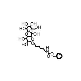 O=C(NCCCCCCO[C@@H]1OC(CO)[C@@H](O[C@@H]2OC(CO)[C@H](O)[C@H](O)C2O)[C@H](O)C1O)OCc1ccccc1